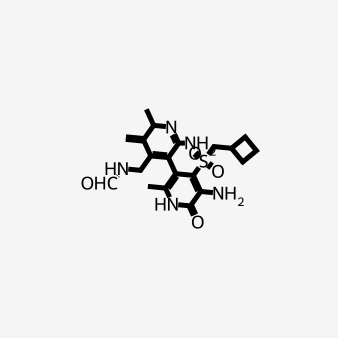 C=C1C(CNC=O)=C(c2c(C)[nH]c(=O)c(N)c2S(=O)(=O)CC2CCC2)C(N)=NC1C